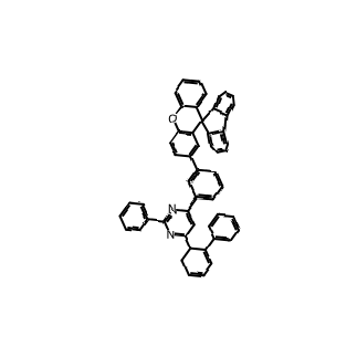 C1=CCC(c2cc(-c3cccc(-c4ccc5c(c4)C4(c6ccccc6O5)c5ccccc5-c5ccccc54)c3)nc(-c3ccccc3)n2)C(c2ccccc2)=C1